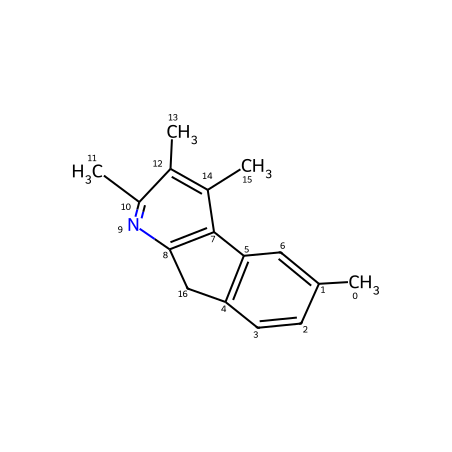 Cc1ccc2c(c1)-c1c(nc(C)c(C)c1C)C2